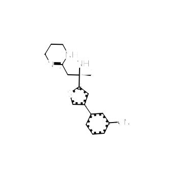 C[C@](N)(CC1=NCCCN1)c1cc(-c2cccc(C#N)c2)cs1